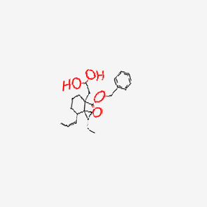 C/C=C\C1CCC[C@](CC(O)O)(C(=O)OCc2ccccc2)[C@@]12C[C@@H]2CC